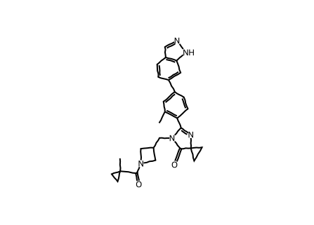 Cc1cc(-c2ccc3cn[nH]c3c2)ccc1C1=NC2(CC2)C(=O)N1CC1CN(C(=O)C2(C)CC2)C1